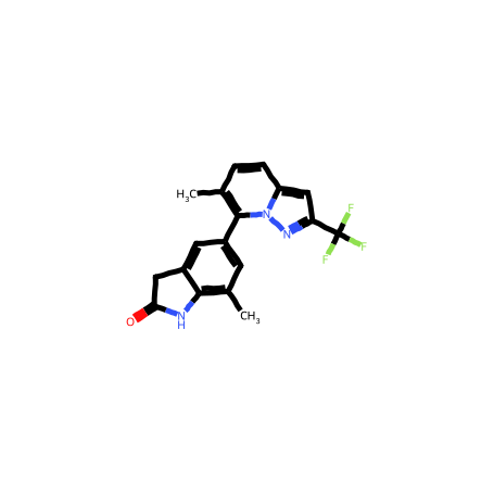 Cc1cc(-c2c(C)ccc3cc(C(F)(F)F)nn23)cc2c1NC(=O)C2